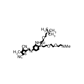 CNCCOCCOCCN(CCOCC[N+](C)(C)C)c1ccc(/N=N/c2sc(C#N)c(C)c2C#N)cc1NC(C)=O